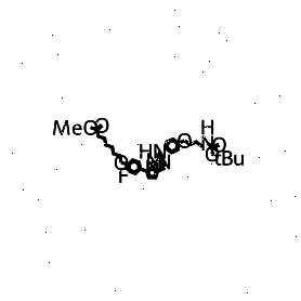 COC(=O)CCCCCCOc1ccc(-c2ccc3cnc(Nc4ccc(OCCCNC(=O)OC(C)(C)C)cc4)nn23)cc1F